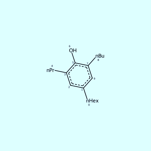 CCCCCCc1cc(CCC)c(O)c(CCCC)c1